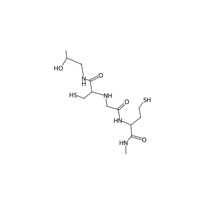 CNC(=O)C(CCS)NC(=O)CNC(CS)C(=O)NCC(C)O